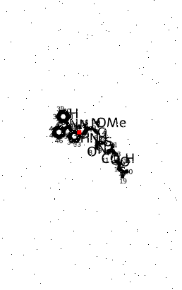 CO/N=C(\C(=O)N[C@@H]1C(=O)N2C(C(=O)O)=C(COC(=O)C=C(C)C)CS[C@H]12)c1csc(NC(c2ccccc2)(c2ccccc2)c2ccccc2)n1